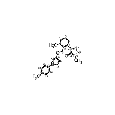 Cc1cccc(-n2nnn(C)c2=O)c1COc1ccn(-c2ccc(C(F)(F)F)cc2)n1